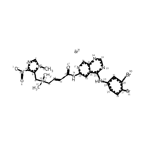 Cn1cnc([N+](=O)[O-])c1C[N+](C)(C)C/C=C/C(=O)Nc1cc2c(Nc3ccc(Br)c(Br)c3)ncnc2cn1.[Br-]